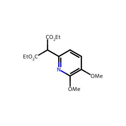 CCOC(=O)C(C(=O)OCC)c1ccc(OC)c(OC)n1